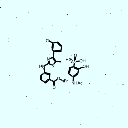 CC(=O)Nc1ccc([As](=O)(O)O)c(O)c1.CCCOC(=O)c1cccc(Nc2nc(-c3cccc(Cl)c3)c(C)s2)c1